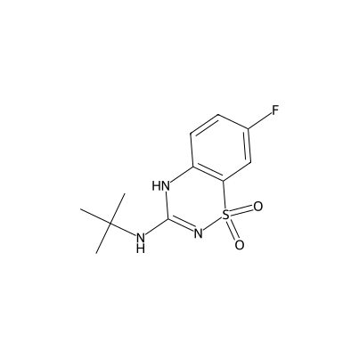 CC(C)(C)NC1=NS(=O)(=O)c2cc(F)ccc2N1